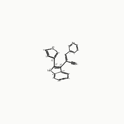 N#C/C(=C\c1cccnc1)c1c(-c2ccsc2)[nH]c2ccccc12